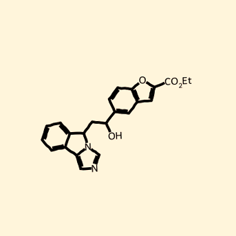 CCOC(=O)c1cc2cc(C(O)CC3c4ccccc4-c4cncn43)ccc2o1